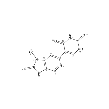 Cn1c(=O)[nH]c2nnc(-c3c[nH]c(=O)[nH]c3=O)cc21